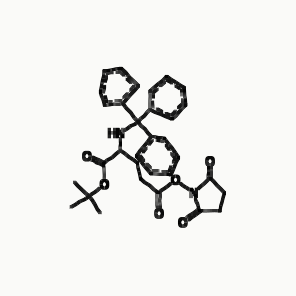 CC(C)(C)OC(=O)C(CCC(=O)ON1C(=O)CCC1=O)NC(c1ccccc1)(c1ccccc1)c1ccccc1